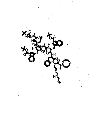 C#CCN(NC(=O)[C@H](C)NC(=O)OC(C)(C)C)S(=O)(=O)N[C@H](Cc1cn(C(=O)OC(C)(C)C)c2ccccc12)C(=O)N[C@@H](C)C(=O)N[C@@H](Cc1cn(C(=O)OC(C)(C)C)c2ccccc12)C(=O)N[C@H](Cc1ccccc1)C(=O)N[C@@H](CCCCNCC=C)C(=O)NC1CCCCCCC1